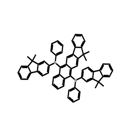 CC1(C)c2ccccc2-c2ccc(N(c3ccccc3)c3c4ccccc4c(N(c4ccccc4)c4ccc5c(c4)C(C)(C)c4ccccc4-5)c4cc5c(cc34)-c3ccccc3C5(C)C)cc21